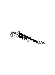 COc1[c]c(CCCCCCCCCCOC(C)=O)c(C)cc1OC